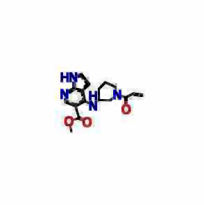 C=CC(=O)N1CCC[C@@H](Nc2c(C(=O)OC)cnc3[nH]ccc23)C1